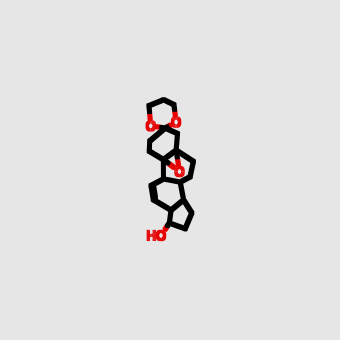 OC1CCC2C1C=CC1C2CCC23CC4(CCC12O3)OCCCO4